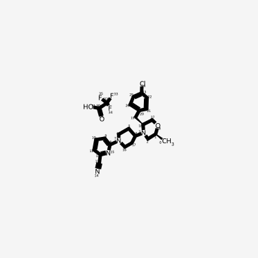 C[C@H]1CN(C2CCN(c3cccc(C#N)n3)CC2)[C@@H](Cc2ccc(Cl)cc2)CO1.O=C(O)C(F)(F)F